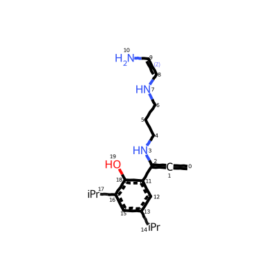 C=C=C(NCCCN/C=C\N)c1cc(C(C)C)cc(C(C)C)c1O